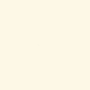 CCC(C)(C)NC(=O)C1COc2ccccc2O1